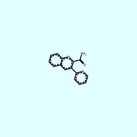 NC(=O)c1nc2ccccc2cc1-c1ccccn1